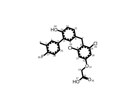 Cc1cc(-c2cc(Cc3c(Cl)cc(OCC(=O)O)cc3Cl)ccc2O)ccc1F